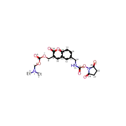 CCN(CC)COC(=O)OCc1cc2cc(CNC(=O)ON3C(=O)CCC3=O)ccc2oc1=O